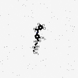 CCNC(=O)NCCNC(=O)c1ccc(/C=C/C(c2cc(Cl)c(Cl)c(Cl)c2)C(F)(F)F)cc1C